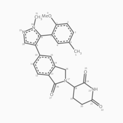 COc1ccc(C)cc1-c1c(-c2ccc3c(c2)CN(C2CCC(=O)NC2=O)C3=O)cnn1C